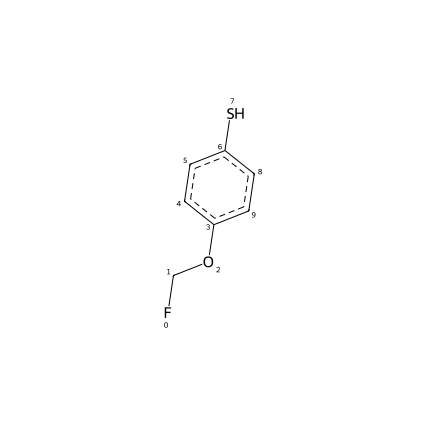 FCOc1ccc(S)cc1